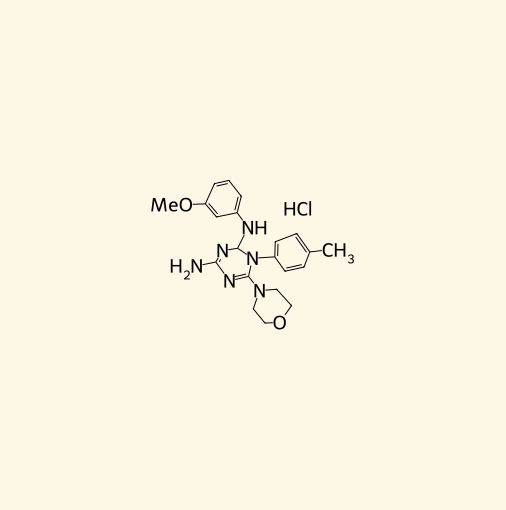 COc1cccc(NC2N=C(N)N=C(N3CCOCC3)N2c2ccc(C)cc2)c1.Cl